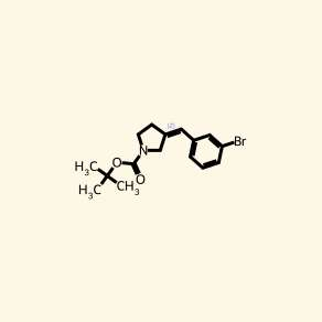 CC(C)(C)OC(=O)N1CC/C(=C/c2cccc(Br)c2)C1